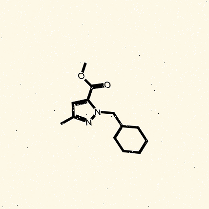 COC(=O)c1cc(C)nn1CC1CCCCC1